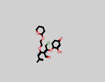 C=C(C)/C=C(OCCOC1CCCCO1)\C(C=O)=C(/CCl)OC1CCC(=O)C=C1O